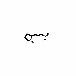 CCNCCCC1CCCN1C